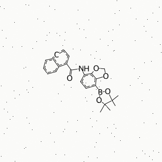 CC1(C)OB(c2ccc(NC(=O)c3cccc4ccccc34)c3c2OCO3)OC1(C)C